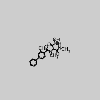 CNC(=O)C(C(=O)NO)N(C)C(=O)c1ccc(-c2ccccc2)cc1C